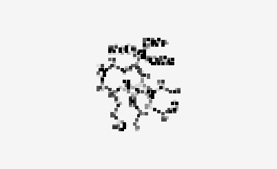 CO[Si](C=C[Si](N1CCOCC1)(N1CCOCC1)N1CCOCC1)(OC)OC